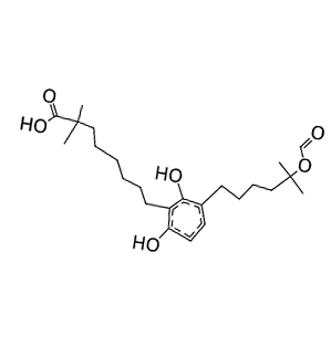 CC(C)(CCCCc1ccc(O)c(CCCCCCC(C)(C)C(=O)O)c1O)OC=O